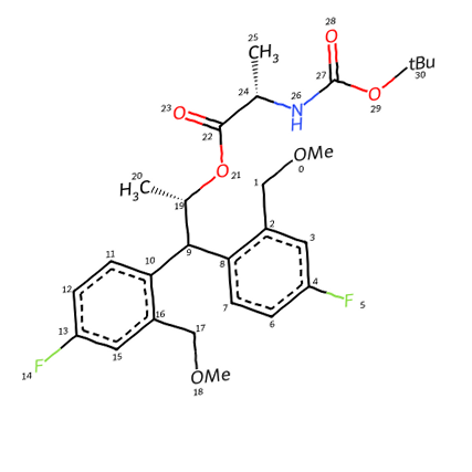 COCc1cc(F)ccc1C(c1ccc(F)cc1COC)[C@H](C)OC(=O)[C@H](C)NC(=O)OC(C)(C)C